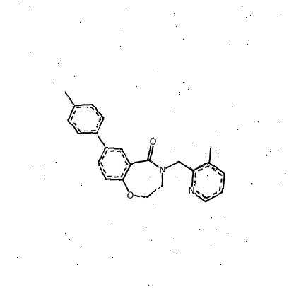 Cc1ccc(-c2ccc3c(c2)C(=O)N(Cc2ncccc2C)CCO3)cc1